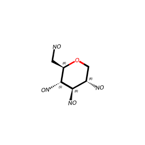 O=NC[C@H]1OC[C@H](N=O)[C@@H](N=O)[C@@H]1N=O